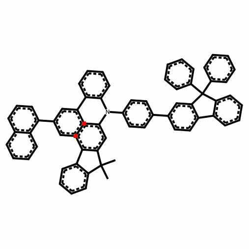 CC1(C)c2ccccc2-c2ccc(N(c3ccc(-c4ccc5c(c4)C(c4ccccc4)(c4ccccc4)c4ccccc4-5)cc3)c3ccccc3-c3cccc(-c4cccc5ccccc45)c3)cc21